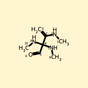 C=C(NC)C(C=O)(NC)NC